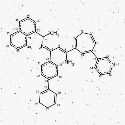 CC(/N=C(\C=C(/N)C1=CCC=CC(c2cccnc2)=C1)c1ccc(C2=CCCC=C2)cc1)c1cccc2ccccc12